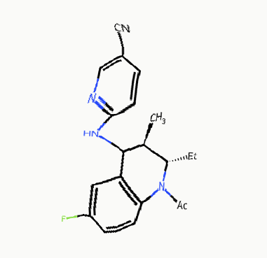 CC[C@H]1[C@H](C)C(Nc2ccc(C#N)cn2)c2cc(F)ccc2N1C(C)=O